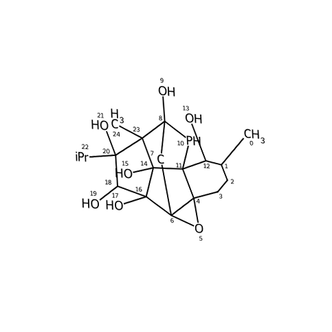 CC1CCC23OC24CC2(O)PC3(C1O)C1(O)C4(O)C(O)C(O)(C(C)C)C21C